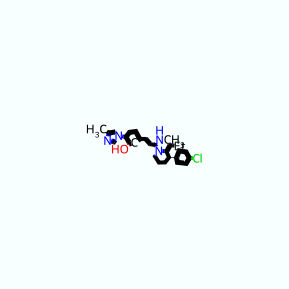 CC/C(C)=C1\[C@H](c2ccc(Cl)cc2)CCCN1C(=N)/C=C/c1ccc(-n2cnc(C)c2)c(O)c1